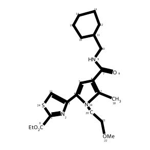 CCOC(=O)c1nc(-c2cc(C(=O)NCC3CCCCC3)c(C)n2CCOC)cs1